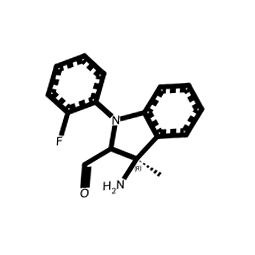 C[C@@]1(N)c2ccccc2N(c2ccccc2F)C1C=O